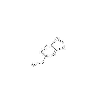 FC(F)(F)Oc1ccc2oc[c]c2c1